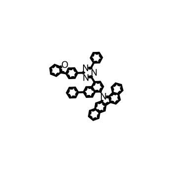 c1ccc(-c2ccc3c(-n4c5cc6ccccc6cc5c5ccc6ccccc6c54)ccc(-c4nc(-c5ccccc5)nc(-c5ccc6c(c5)oc5ccccc56)n4)c3c2)cc1